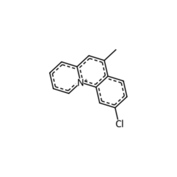 Cc1cc2cccc[n+]2c2cc(Cl)ccc12